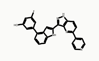 Oc1cc(F)cc(-c2cccc3[nH]c(-c4n[nH]c5ccc(-c6ccncc6)nc45)cc23)c1